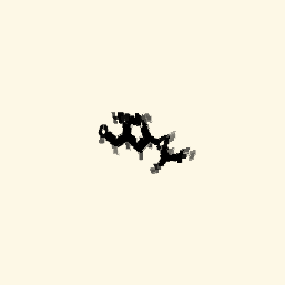 O=Cc1cc(OC(F)F)n[nH]1